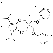 CC(C)C1=C2OCC(COc3ccccc3)(COc3ccccc3)COC2=C(C(C)C)C1